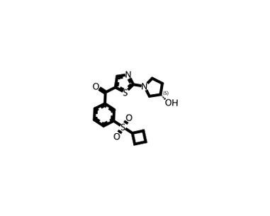 O=C(c1cccc(S(=O)(=O)C2CCC2)c1)c1cnc(N2CC[C@H](O)C2)s1